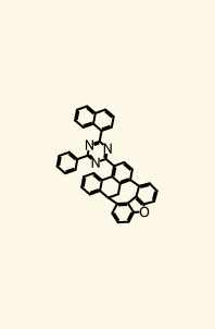 c1ccc(-c2nc(-c3ccc4c5c3-c3ccccc3C(C5)c3cccc5oc6cccc-4c6c35)nc(-c3cccc4ccccc34)n2)cc1